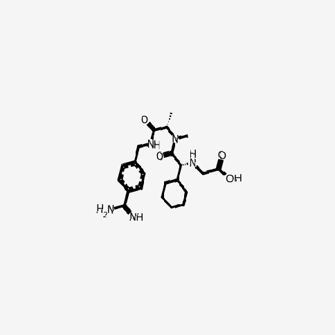 C[C@@H](C(=O)NCc1ccc(C(=N)N)cc1)N(C)C(=O)[C@H](NCC(=O)O)C1CCCCC1